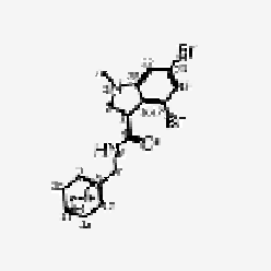 CN1CC(C(=O)NCC23CCC(CC2)CC3)c2c(Br)cc(Br)cc21